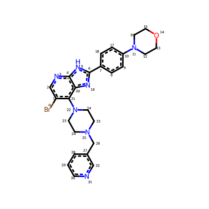 Brc1cnc2[nH]c(-c3ccc(N4CCOCC4)cc3)nc2c1N1CCN(Cc2cccnc2)CC1